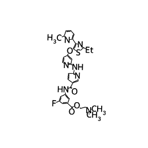 CCc1nc(-c2cccc(C)n2)c(Oc2ccnc(Nc3ccc(C(=O)Nc4cc(F)cc(C(=O)OCCN(C)C)c4)cn3)c2)s1